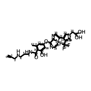 C#CCNCCCNC(=O)c1c(C)cc(Oc2nccn3c(-c4cn(CC(O)O)nc4C(F)(F)F)cnc23)cc1O